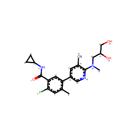 Cc1cc(F)c(C(=O)NC2CC2)cc1-c1cnc(N(C)CC(O)CO)c(C#N)c1